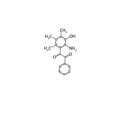 Cc1c(C)c(O)c(N)c(C(=O)C(=O)c2ccccc2)c1C